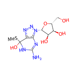 CSC1(O)NC(N)=Nc2c1nnn2[C@@H]1O[C@H](CO)[C@@H](O)[C@H]1O